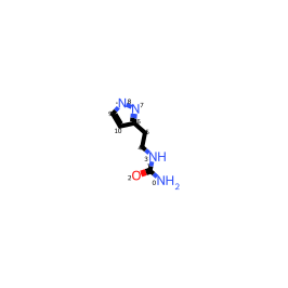 NC(=O)NCCC1=N[N]C=C1